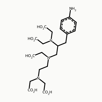 Nc1ccc(CC(CN(CCN(CC(=O)O)CC(=O)O)CC(=O)O)N(CC(=O)O)CC(=O)O)cc1